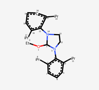 CCOC1N(c2c(C(C)C)cccc2C(C)C)CCN1c1c(C(C)C)cccc1C(C)C